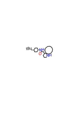 CC(C)(C)C[C@H]1CC[C@H](NC(=O)CC2CCCNC23CCCCCCCCCC3)CC1